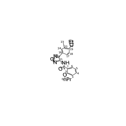 CCCOc1ccccc1C(=O)Nc1nonc1-c1ccc(OCC)c(C)c1